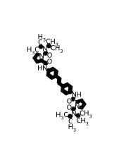 CC(C)N(C(=O)N1CCCC1C(=O)Nc1ccc(/C=C/c2ccc(NC(=O)[C@@H]3CCCN3C(=O)N(C(C)C)C(C)C)cc2)cc1)C(C)C